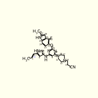 C/C=C/c1cc(Nc2cc(N3CCN(CCC#N)CC3)nc(Oc3ccc4[nH]c(C)cc4c3F)n2)n[nH]1